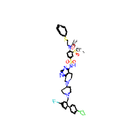 CC(=O)N(CCSc1ccccc1)c1ccc(S(=O)(=O)Nc2ncnc3c2CCN(C2CCN(Cc4cc(F)ccc4-c4ccc(Cl)cc4)CC2)C3)cc1S(=O)(=O)C(F)(F)F